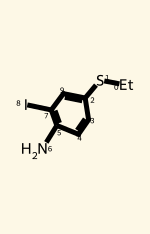 CCSc1ccc(N)c(I)c1